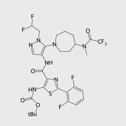 CN(C(=O)C(F)(F)F)C1CCCN(c2c(NC(=O)c3nc(-c4c(F)cccc4F)sc3NC(=O)OC(C)(C)C)cnn2CC(F)F)CC1